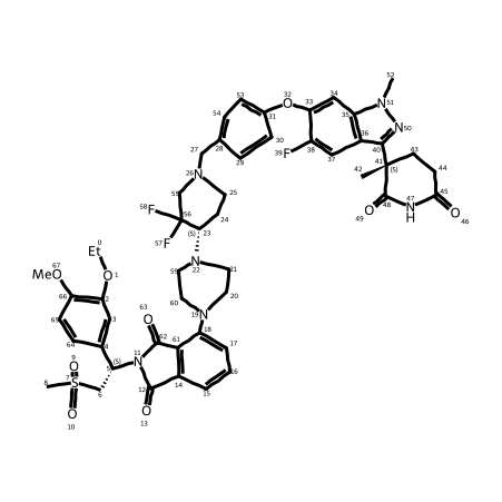 CCOc1cc([C@@H](CS(C)(=O)=O)N2C(=O)c3cccc(N4CCN([C@H]5CCN(Cc6ccc(Oc7cc8c(cc7F)c([C@]7(C)CCC(=O)NC7=O)nn8C)cc6)CC5(F)F)CC4)c3C2=O)ccc1OC